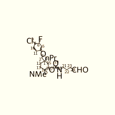 CCCC1(COC2=CC(F)C(Cl)C=C2)CCC(NC)C(OC(=O)NCCCC=O)C1